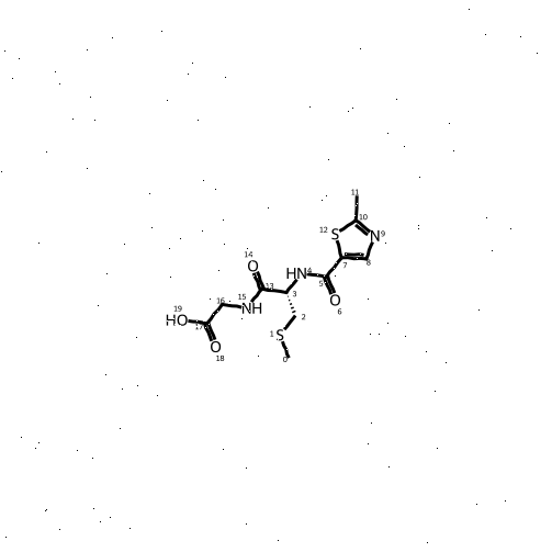 CSC[C@@H](NC(=O)c1cnc(C)s1)C(=O)NCC(=O)O